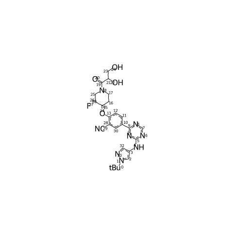 CC(C)(C)n1cc(Nc2ncnc(-c3ccc(O[C@H]4CCN(C(=O)C(O)CO)C[C@H]4F)c(C#N)c3)n2)cn1